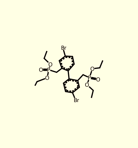 CCOP(=O)(Cc1cc(Br)ccc1-c1ccc(Br)cc1CP(=O)(OCC)OCC)OCC